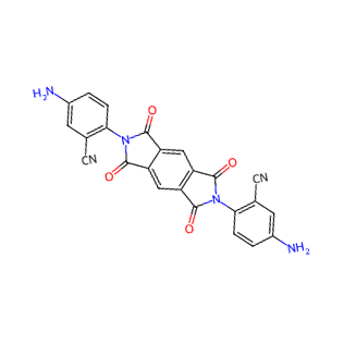 N#Cc1cc(N)ccc1-n1c(=O)c2cc3c(=O)n(-c4ccc(N)cc4C#N)c(=O)c3cc2c1=O